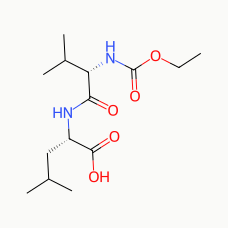 CCOC(=O)N[C@H](C(=O)N[C@@H](CC(C)C)C(=O)O)C(C)C